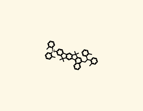 Cc1ccccc1C(Cc1cc2c(c3ccccc13)-c1cc3c(cc1C2(C)C)-c1ccc(N(c2ccccc2C)c2ccccc2C)cc1C3(C)C)c1ccccc1C